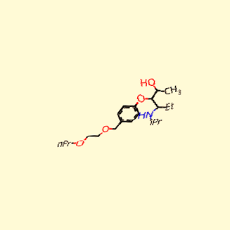 CCCOCCOCc1ccc(OC(C(C)O)C(CC)NC(C)C)cc1